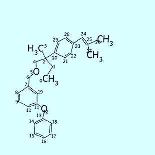 CCC(C)(COCc1cccc(Oc2ccccc2)c1)c1ccc(C=C(C)C)cc1